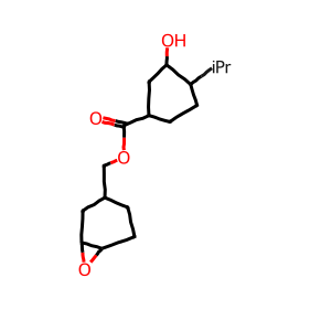 CC(C)C1CCC(C(=O)OCC2CCC3OC3C2)CC1O